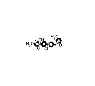 Cc1ccc(=O)n(CC2CCN(c3ccc(-n4c(C)nc(C)cc4=O)cc3Cl)CC2)c1